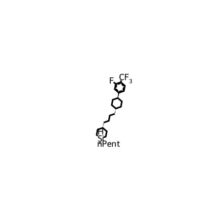 CCCCC[Si@H]1CC[C@H](CCCC[C@H]2CC[C@H](c3ccc(C(F)(F)F)c(F)c3)CC2)CC1